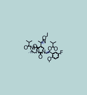 CCO/N=C(\C)c1cn(/C=C(\OC(=O)C(C)C)c2cc(F)ccc2OC)c(=O)n(C[C@H](C)NC(=O)C(C)C)c1=O